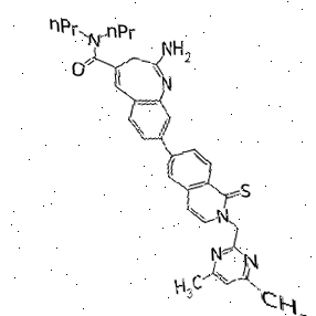 CCCN(CCC)C(=O)C1=Cc2ccc(-c3ccc4c(=S)n(Cc5nc(C)cc(C)n5)ccc4c3)cc2N=C(N)C1